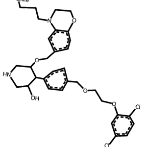 COCCCN1CCOc2ccc(COC3CNCC(O)C3c3ccc(COCCOc4cc(Cl)ccc4Cl)cc3)cc21